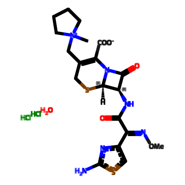 CON=C(C(=O)N[C@@H]1C(=O)N2C(C(=O)[O-])=C(C[N+]3(C)CCCC3)CS[C@H]12)c1csc(N)n1.Cl.Cl.O